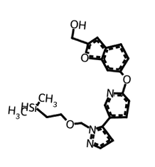 C[SiH](C)CCOCn1nccc1-c1ccc(Oc2ccc3cc(CO)oc3c2)nc1